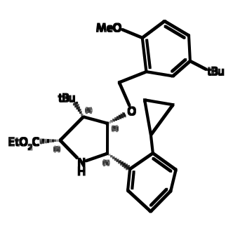 CCOC(=O)[C@H]1N[C@@H](c2ccccc2C2CC2)[C@@H](OCc2cc(C(C)(C)C)ccc2OC)[C@H]1C(C)(C)C